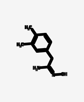 Cc1ccc(C/C(N)=N\O)cc1C